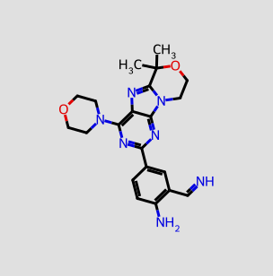 CC1(C)OCCn2c1nc1c(N3CCOCC3)nc(-c3ccc(N)c(C=N)c3)nc12